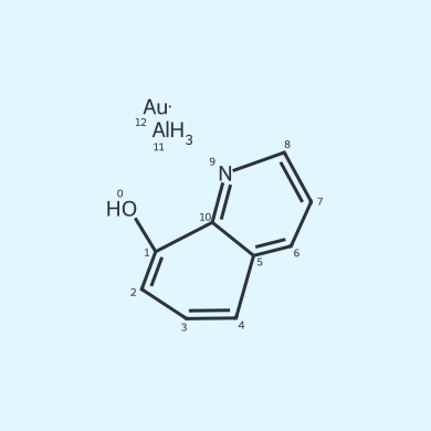 Oc1cccc2cccnc12.[AlH3].[Au]